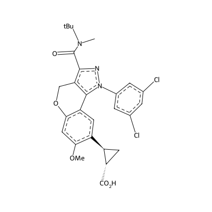 COc1cc2c(cc1[C@H]1C[C@@H]1C(=O)O)-c1c(c(C(=O)N(C)C(C)(C)C)nn1-c1cc(Cl)cc(Cl)c1)CO2